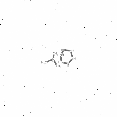 B1NBNBN1.CN(C)C